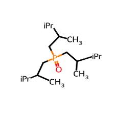 CC(C)C(C)CP(=O)(CC(C)C(C)C)CC(C)C(C)C